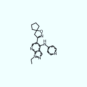 CCn1ncc2c(Nc3ccncc3)c(C3=NOC4(CCCC4)C3)cnc21